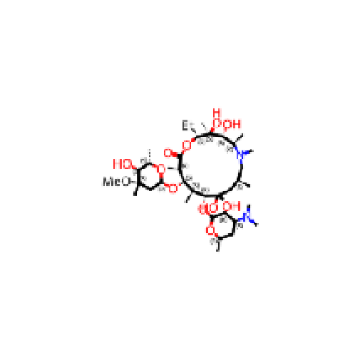 CC[C@H]1OC(=O)[C@H](C)[C@@H](O[C@H]2C[C@@](C)(OC)[C@@H](O)[C@H](C)O2)[C@H](C)[C@@H](OC2O[C@H](C)C[C@H](N(C)C)[C@H]2O)C(C)(O)C[C@H](C)CN(C)[C@H](C)[C@@H](O)[C@]1(C)O